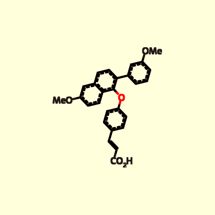 COc1cccc(-c2ccc3cc(OC)ccc3c2Oc2ccc(/C=C/C(=O)O)cc2)c1